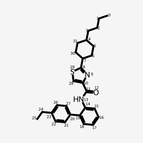 CCCCC1CCC(c2nc(C(=O)Nc3ccccc3-c3ccc(CC)cc3)cs2)CC1